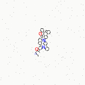 C=C/C=C\c1oc2ccc(-n3c4ccccc4c4ccc(N(c5ccc6c(c5)C5(c7ccccc7Oc7ccccc75)c5cccc7cccc-6c57)c5cccc6ccccc56)cc43)cc2c1C